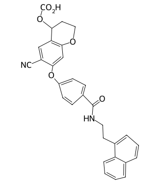 N#Cc1cc2c(cc1Oc1ccc(C(=O)NCCc3cccc4ccccc34)cc1)OCCC2OC(=O)O